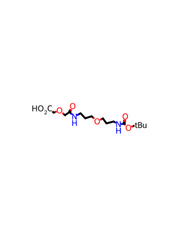 CC(C)(C)OC(=O)NCCCOCCCNC(=O)COCC(=O)O